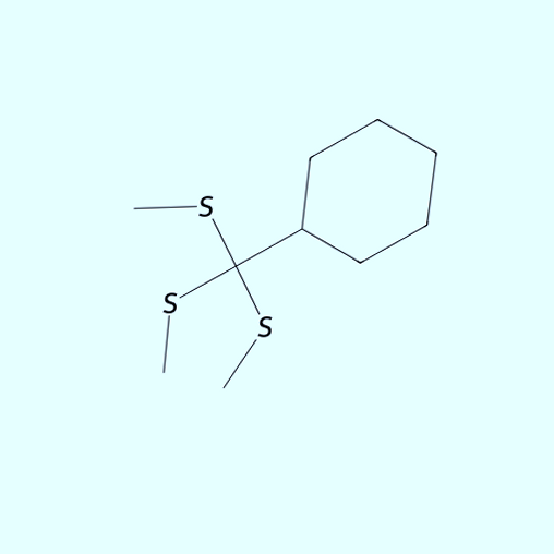 CSC(SC)(SC)C1CCCCC1